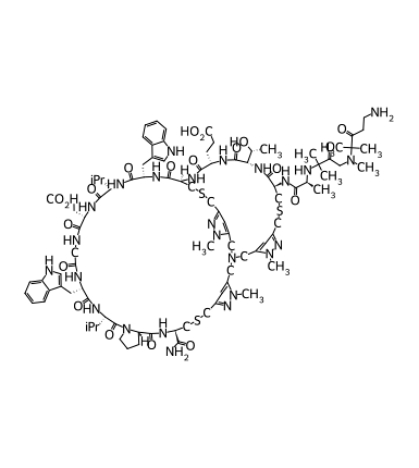 CC(C)[C@@H]1NC(=O)[C@H](Cc2c[nH]c3ccccc23)NC(=O)[C@@H]2CSCc3cc(n(C)n3)CN(Cc3cc(nn3C)CSC[C@@H](C(N)=O)NC(=O)[C@@H]3CCCN3C(=O)[C@H](C(C)C)NC(=O)[C@H](Cc3c[nH]c4ccccc34)NC(=O)CNC(=O)[C@H](CC(=O)O)NC1=O)Cc1cc(nn1C)CSC[C@H](NC(=O)[C@H](C)NC(C)(C)C(=O)CN(C)C(C)(C)C(=O)CCN)C(=O)N[C@@H]([C@@H](C)O)C(=O)N[C@@H](CCC(=O)O)C(=O)N2